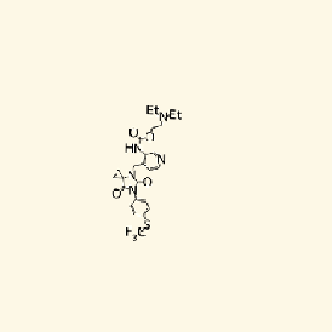 CCN(CC)CCOC(=O)Nc1cnccc1CN1C(=O)N(c2ccc(SC(F)(F)F)cc2)C(=O)C12CC2